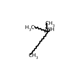 CCCCCCCCCCCCCCCCCCCc1c[nH]c(CCCC)[n+]1CCCCCCCCC